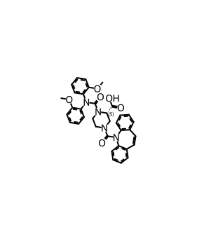 COc1ccccc1N(C(=O)N1CCN(C(=O)N2c3ccccc3C=Cc3ccccc32)C[C@H]1C(=O)O)c1ccccc1OC